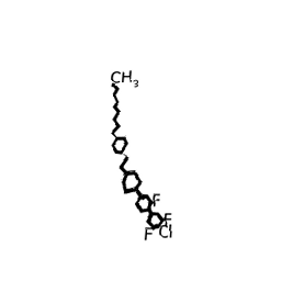 CCCCCCCCCC[C@H]1CC[C@H](CCC2CCC(c3ccc(-c4cc(F)c(Cl)c(F)c4)c(F)c3)CC2)CC1